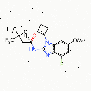 COc1cc(F)c2nc(NC(=O)CC(C)(C)C(F)(F)F)n(C34CC(C3)C4)c2c1